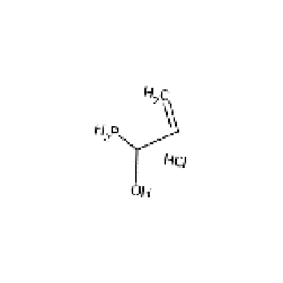 C=CC(O)P.Cl